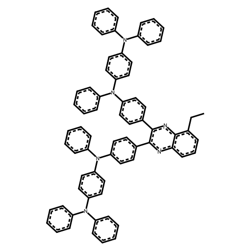 CCc1cccc2nc(-c3ccc(N(c4ccccc4)c4ccc(N(c5ccccc5)c5ccccc5)cc4)cc3)c(-c3ccc(N(c4ccccc4)c4ccc(N(c5ccccc5)c5ccccc5)cc4)cc3)nc12